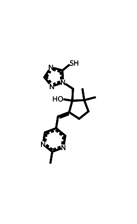 Cc1ncc(/C=C2\CCC(C)(C)C2(O)Cn2ncnc2S)cn1